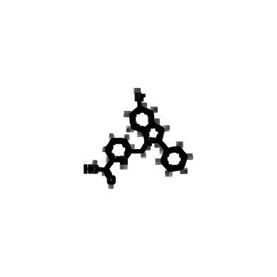 O=C(O)c1cccc(Cn2c(-c3ccccc3)cc3cc(Br)ccc32)n1